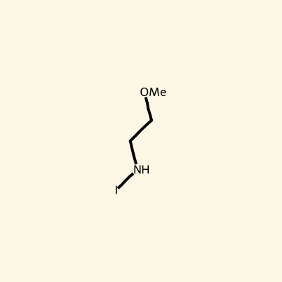 COCCNI